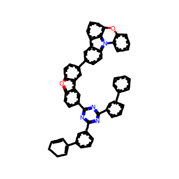 C1=CC(c2cccc(-c3nc(-c4cccc(-c5ccccc5)c4)nc(-c4ccc5oc6ccc(-c7ccc8c(c7)c7cccc9c7n8-c7ccccc7O9)cc6c5c4)n3)c2)=CCC1